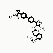 COC(=O)C1(c2ccc(-c3ccc(-c4snc(C)c4NC(=O)O[C@H](C)c4ccccc4C)cc3)cc2)CC1